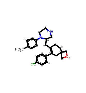 O=C(O)c1ccc(N2CCNCC2CC2=C(c3ccc(Cl)cc3)CC3(CC2)COC3)cc1